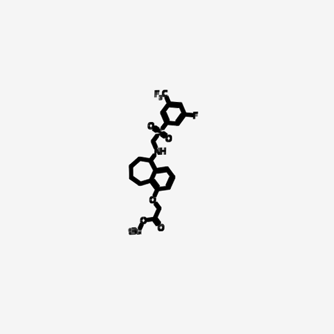 CC(C)(C)OC(=O)COc1cccc2c1CCCCC2NCS(=O)(=O)c1cc(F)cc(C(F)(F)F)c1